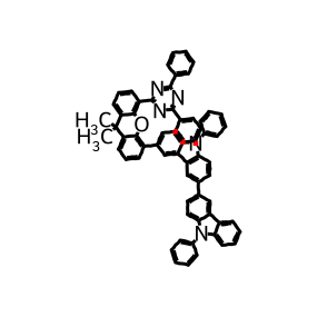 CC1(C)c2cccc(-c3ccc4c(c3)c3cc(-c5ccc6c(c5)c5ccccc5n6-c5ccccc5)ccc3n4-c3ccccc3)c2Oc2c(-c3nc(-c4ccccc4)nc(-c4ccccc4)n3)cccc21